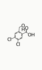 O=C(O)c1cc(Cl)c(Cl)cc1CO